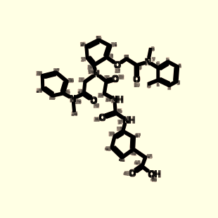 Cc1ccccc1N(C)C(=O)COc1ccccc1N(CC(=O)N(C)c1ccccc1)C(=O)CNC(=O)Nc1cccc(CC(=O)O)c1